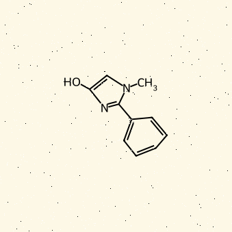 Cn1cc(O)nc1-c1ccccc1